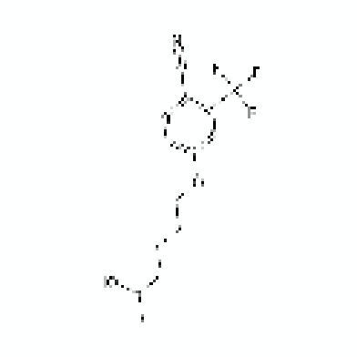 CC(O)CCCCOc1ccc(C#N)c(C(F)(F)F)c1